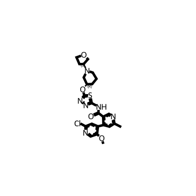 COc1cnc(Cl)cc1-c1cc(C)ncc1C(=O)Nc1nnc(O[C@@H]2CCCN([C@H]3CCOC3)C2)s1